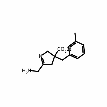 CCOC(=O)C1(Cc2cccc(C)c2)CN=C(CN)C1